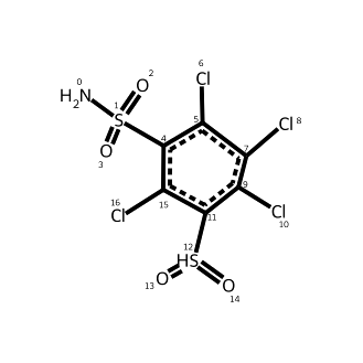 NS(=O)(=O)c1c(Cl)c(Cl)c(Cl)c([SH](=O)=O)c1Cl